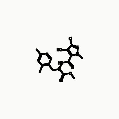 COC(=O)N(Cc1ccc(C)cc1C)NC(=O)c1c(O)c(Cl)nn1C